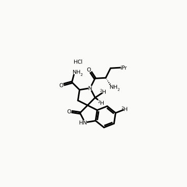 Cl.[2H]c1ccc2c(c1)C1(CC(C(N)=O)N(C(=O)[C@@H](N)CC(C)C)C1([2H])[2H])C(=O)N2